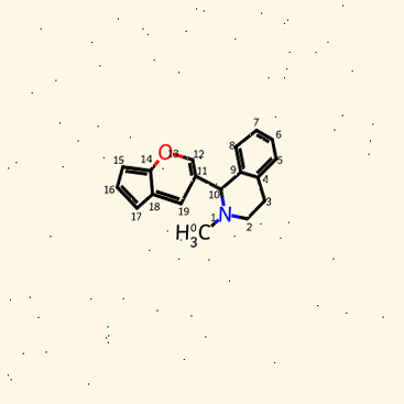 CN1CCc2ccccc2C1c1coc2cccc-2c1